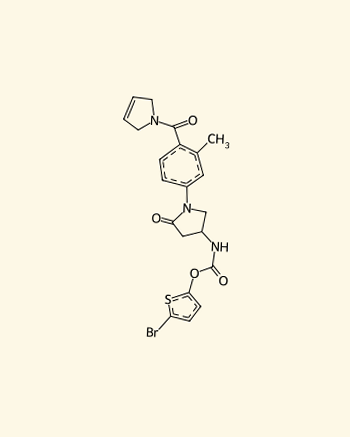 Cc1cc(N2CC(NC(=O)Oc3ccc(Br)s3)CC2=O)ccc1C(=O)N1CC=CC1